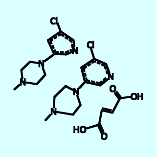 CN1CCN(c2cncc(Cl)c2)CC1.CN1CCN(c2cncc(Cl)c2)CC1.O=C(O)/C=C/C(=O)O